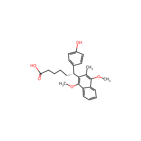 COc1c(C)c([C@H](CCCCC(=O)O)c2ccc(O)cc2)c(OC)c2ccccc12